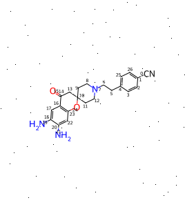 N#Cc1ccc(CCN2CCC3(CC2)CC(=O)c2cc(N)c(N)cc2O3)cc1